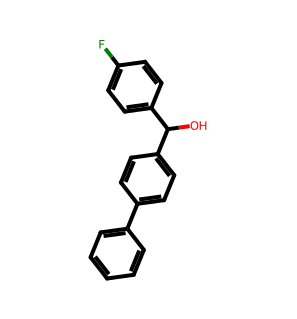 OC(c1ccc(F)cc1)c1ccc(-c2ccccc2)cc1